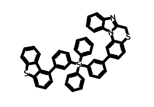 c1ccc([Si](c2ccccc2)(c2cccc(-c3ccc4c(c3)-n3c(nc5ccccc53)CS4)c2)c2cccc(-c3cccc4sc5ccccc5c34)c2)cc1